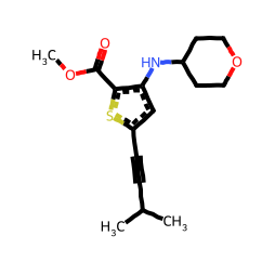 COC(=O)c1sc(C#CC(C)C)cc1NC1CCOCC1